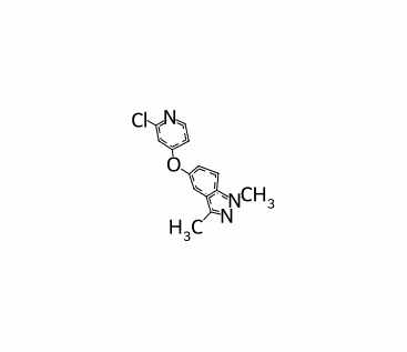 Cc1nn(C)c2ccc(Oc3ccnc(Cl)c3)cc12